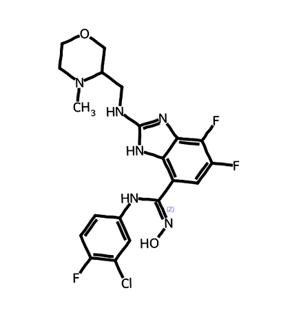 CN1CCOCC1CNc1nc2c(F)c(F)cc(/C(=N/O)Nc3ccc(F)c(Cl)c3)c2[nH]1